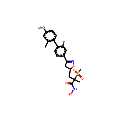 COc1ccc(-c2ccc(C3=NOC(CC(C)(C(=O)NO)S(C)(=O)=O)C3)cc2F)c(C)c1